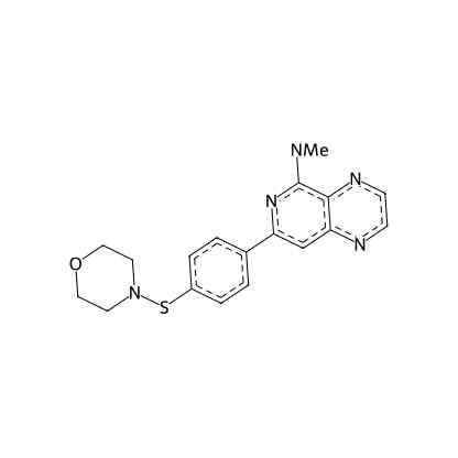 CNc1nc(-c2ccc(SN3CCOCC3)cc2)cc2nccnc12